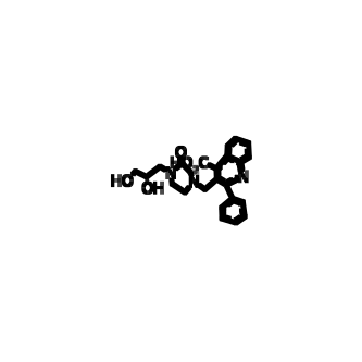 O=C(O)c1c(CN2CCN(C[C@H](O)CO)C(=O)C2)c(-c2ccccc2)nc2ccccc12